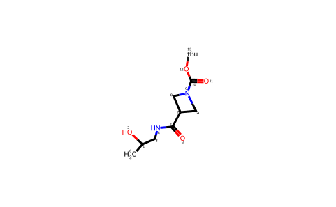 CC(O)CNC(=O)C1CN(C(=O)OC(C)(C)C)C1